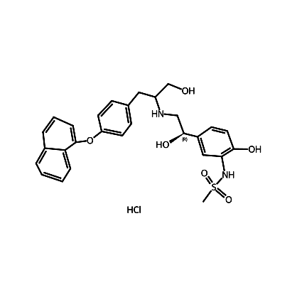 CS(=O)(=O)Nc1cc([C@@H](O)CNC(CO)Cc2ccc(Oc3cccc4ccccc34)cc2)ccc1O.Cl